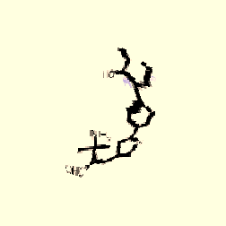 C=C/C(O)=C(\C=C/C)c1ccc(C2=NCC(CC(C=O)C(C)(C)N)C2)cc1